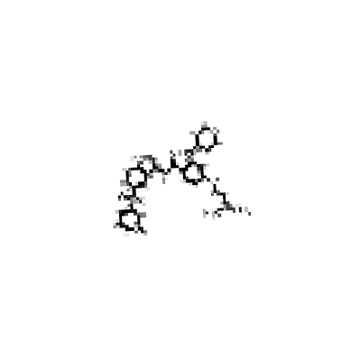 CN(C)CCOc1ccc(C(=O)Nc2n[nH]c3ccc(S(=O)(=O)c4cccc(F)c4)cc23)c(NC2CCOCC2)c1